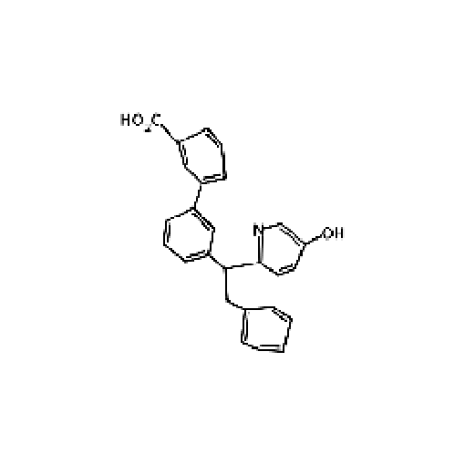 O=C(O)c1cccc(-c2cccc(C(Cc3ccccc3)c3ccc(O)cn3)c2)c1